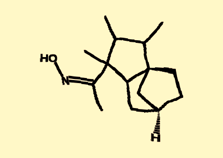 C/C(=N/O)C1(C)C(C)C(C)[C@@]23CC[C@@H](CC12)C3